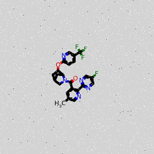 Cc1cnc(-c2ncc(F)cn2)c(C(=O)N2CC3CC(Oc4ccc(C(F)(F)F)cn4)C2C3)c1